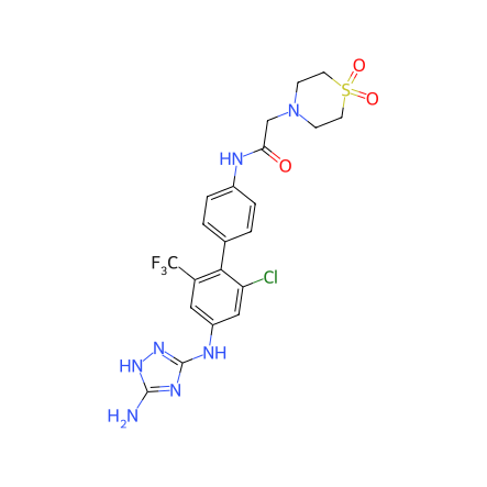 Nc1nc(Nc2cc(Cl)c(-c3ccc(NC(=O)CN4CCS(=O)(=O)CC4)cc3)c(C(F)(F)F)c2)n[nH]1